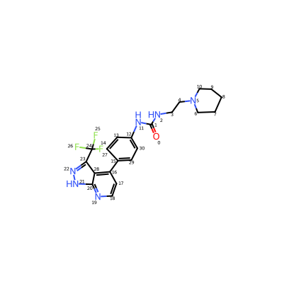 O=C(NCCN1CCCCC1)Nc1ccc(-c2ccnc3[nH]nc(C(F)(F)F)c23)cc1